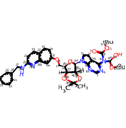 CC(C)(C)OC(=O)N(c1ncnc2c1ccn2[C@@H]1O[C@H](COc2ccc3ccc(NCc4ccccc4)nc3c2)[C@H]2OC(C)(C)O[C@H]21)C(O)OC(C)(C)C